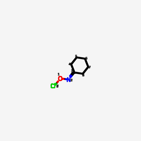 ClON=C1CCCCC1